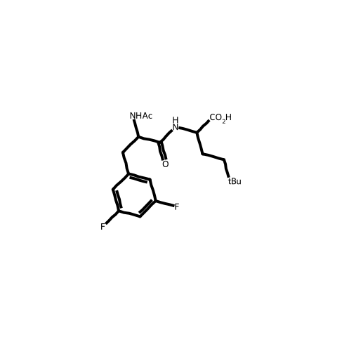 CC(=O)NC(Cc1cc(F)cc(F)c1)C(=O)NC(CCC(C)(C)C)C(=O)O